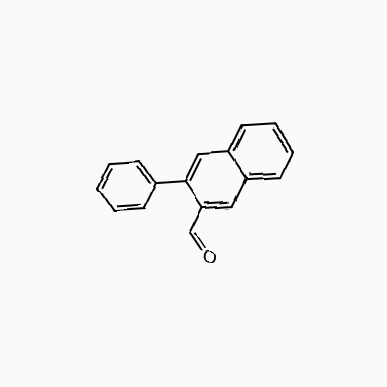 O=Cc1cc2ccccc2cc1-c1ccccc1